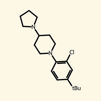 CC(C)(C)c1ccc(N2CCC(N3CCCC3)CC2)c(Cl)c1